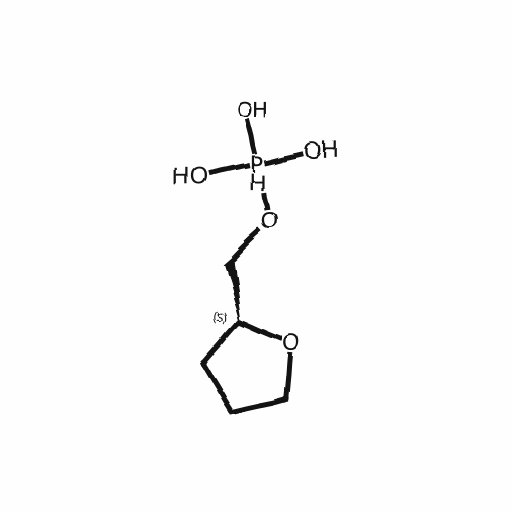 O[PH](O)(O)OC[C@@H]1CCCO1